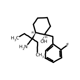 CCC(N)(CC)[C@H]1CCCC[C@@]1(O)Cc1ccccc1F